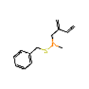 C=CC(=C)CP(C)SCc1ccccc1